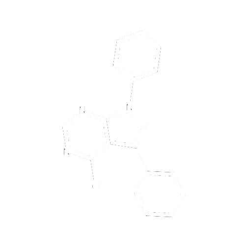 Clc1ncnc2c1c(-c1ccccc1)cn2-c1ccccc1